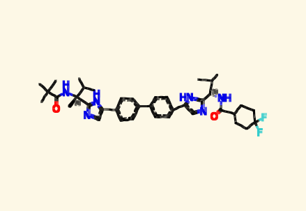 CC(C)[C@H](NC(=O)C1CCC(F)(F)CC1)c1ncc(-c2ccc(-c3ccc(-c4cnc([C@](C)(NC(=O)C(C)(C)C)C(C)C)[nH]4)cc3)cc2)[nH]1